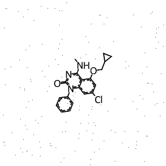 CNc1nc(=O)n(-c2ccccc2)c2cc(Cl)cc(OCC3CC3)c12